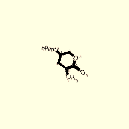 CCCCCC1COC(=O)C(C)C1